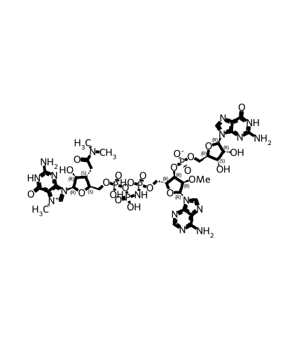 CO[C@@H]1[C@H](OP(=O)([O-])OC[C@H]2O[C@@H](n3cnc4c(=O)[nH]c(N)nc43)[C@H](O)[C@@H]2O)[C@@H](COP(=O)(O)NP(=O)(O)OP(=O)(O)OC[C@H]2O[C@@H](n3c[n+](C)c4c(=O)[nH]c(N)nc43)[C@H](O)[C@@H]2CC(=O)N(C)C)O[C@H]1n1cnc2c(N)ncnc21